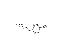 N#Cc1ccc(CCCC(=O)O)nc1